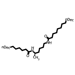 CCCCCCCCCCCCCCCCCC(=O)NCCCC[C@@H](C)NC(=O)CCCCCCCCCCCCCCC